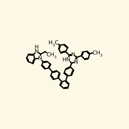 CCC1Nc2ccccc2N1c1ccc(-c2ccc(-c3ccccc3-c3ccc(C4N=C(c5ccc(C)cc5)N=C(c5ccc(C)cc5)N4)cc3)cc2)cc1